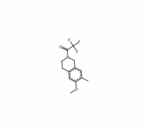 COc1cc2c(cc1C)CN(C(=O)C(F)(F)F)CC2